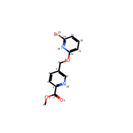 COC(=O)c1ccc(COc2cccc(Br)n2)cn1